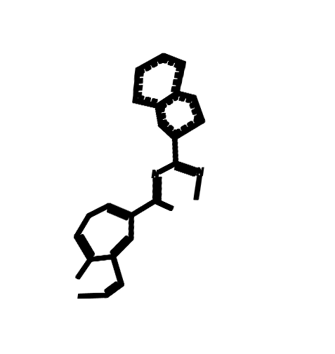 C/C=C\C1=CC(/C(C)=N/C(=N\C)c2ccc3ccccc3c2)=CCC=C1C